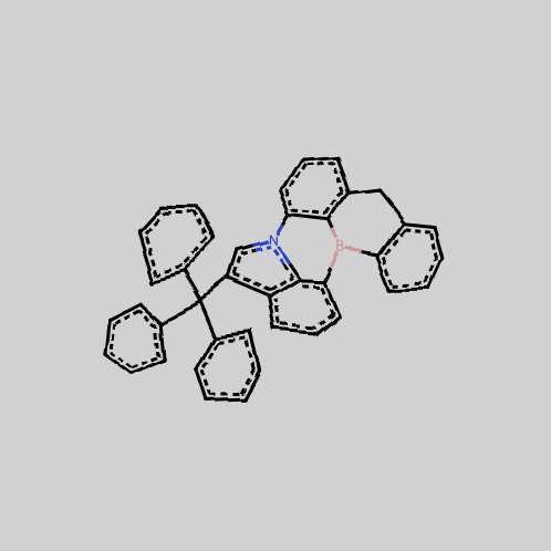 c1ccc(C(c2ccccc2)(c2ccccc2)c2cn3c4c(cccc24)B2c4ccccc4Cc4cccc-3c42)cc1